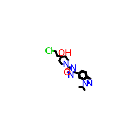 CC(C)n1ncc2ccc(-c3noc(N4CCC(O)(CCCl)CC4)n3)cc21